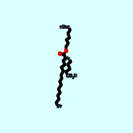 CC(C)CCCCC(=O)O.CCCCCCCCCCCCCCCCOC(=O)CCCCCCCCCCCCCCC(C)C